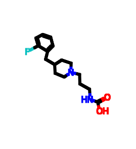 O=C(O)NCCCN1CCC(Cc2ccccc2F)CC1